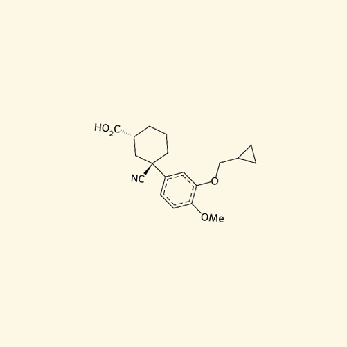 COc1ccc([C@@]2(C#N)CCC[C@@H](C(=O)O)C2)cc1OCC1CC1